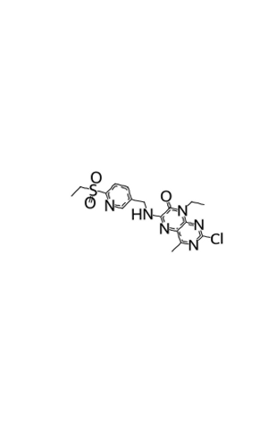 CCn1c(=O)c(NCc2ccc(S(=O)(=O)CC)nc2)nc2c(C)nc(Cl)nc21